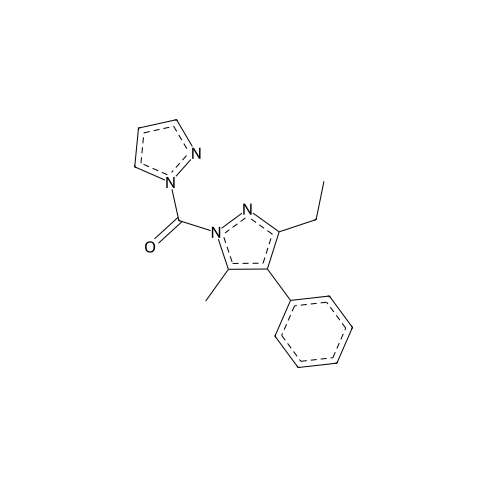 CCc1nn(C(=O)n2cccn2)c(C)c1-c1ccccc1